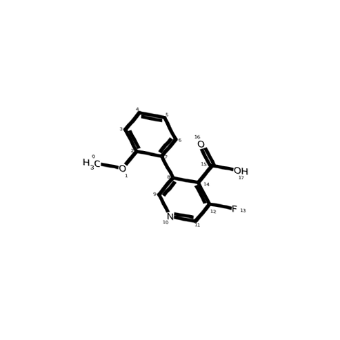 COc1ccccc1-c1cncc(F)c1C(=O)O